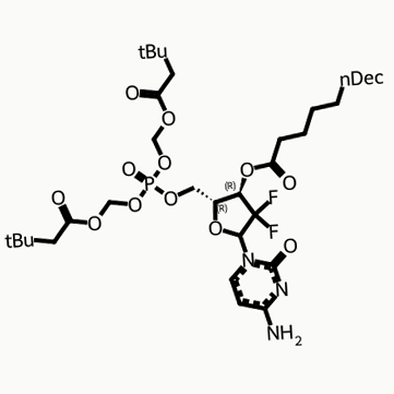 CCCCCCCCCCCCCCC(=O)O[C@@H]1[C@@H](COP(=O)(OCOC(=O)CC(C)(C)C)OCOC(=O)CC(C)(C)C)OC(n2ccc(N)nc2=O)C1(F)F